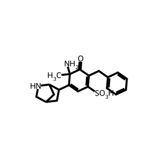 CC1(N)C(=O)C(Cc2ccccc2)=C(S(=O)(=O)O)C=C1C1CC2CNC1C2